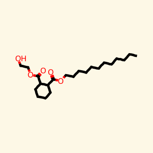 CCCCCCCCCCCCOC(=O)C1CCCCC1C(=O)OCCO